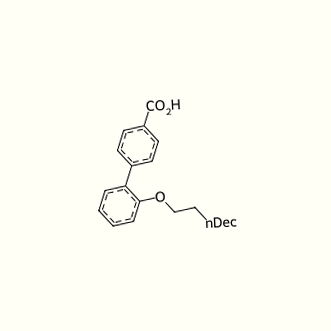 CCCCCCCCCCCCOc1ccccc1-c1ccc(C(=O)O)cc1